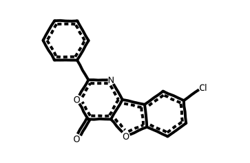 O=c1oc(-c2ccccc2)nc2c1oc1ccc(Cl)cc12